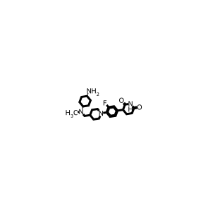 CN(CC1CCN(c2ccc(C3CCC(=O)NC3=O)cc2F)CC1)[C@H]1CC[C@@H](N)CC1